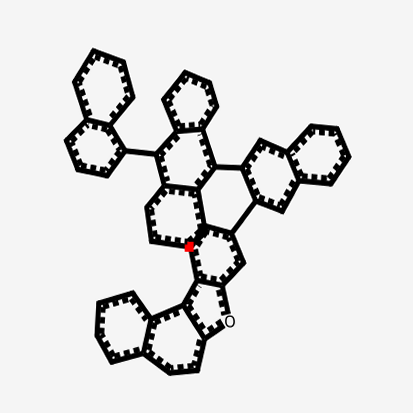 c1ccc2cc(-c3c4ccccc4c(-c4cccc5ccccc45)c4ccccc34)c(-c3ccc4c(c3)oc3ccc5ccccc5c34)cc2c1